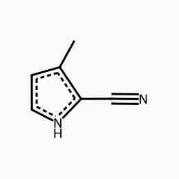 Cc1cc[nH]c1C#N